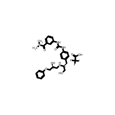 CN(C)C(=O)c1cccc(NC(=O)Nc2ccc(C[C@@H](CO)NC[C@H](O)COc3ccccc3)cc2)c1.O=C(O)C(F)(F)F